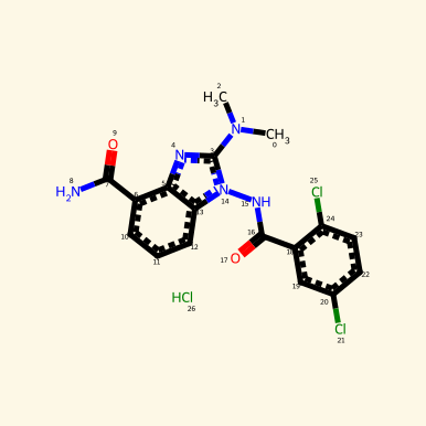 CN(C)c1nc2c(C(N)=O)cccc2n1NC(=O)c1cc(Cl)ccc1Cl.Cl